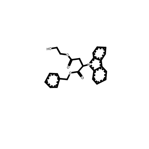 O=C(CC(C(=O)OCc1ccccc1)n1c2ccccc2c2ccccc21)OCCO